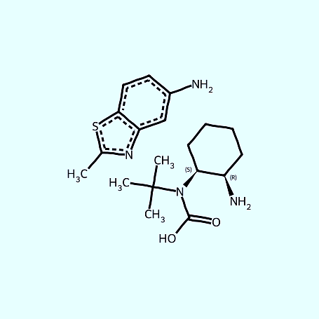 CC(C)(C)N(C(=O)O)[C@H]1CCCC[C@H]1N.Cc1nc2cc(N)ccc2s1